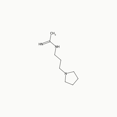 CC(=N)NCCCN1CCCC1